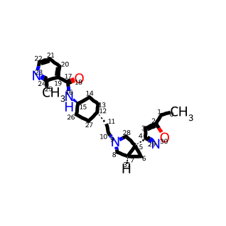 CCc1cc([C@]23C[C@H]2CN(CC[C@H]2CC[C@H](NC(=O)c4cccnc4C)CC2)C3)no1